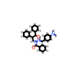 CN(C)c1ccc(C=NN(CC(C(=O)c2ccccc2)c2ccccc2)C(=O)c2ccccc2)cc1